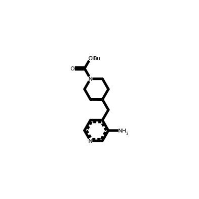 CC(C)COC(=O)N1CCC(Cc2ccncc2N)CC1